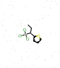 CCC(c1cccs1)[Si](Cl)(Cl)Cl